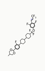 CC1COC(c2ccc(C3CCC(C4CCC(C(F)(F)Oc5cc(F)c(/C=C/C(F)(F)F)c(F)c5)CC4)CC3)c(F)c2)OC1